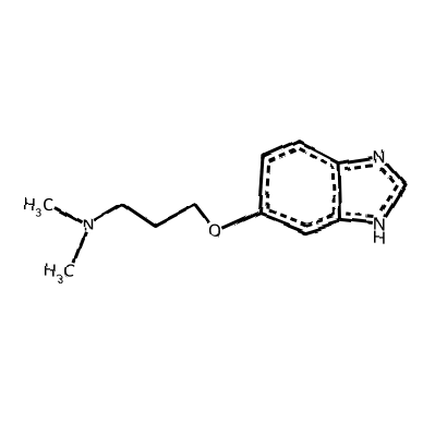 CN(C)CCCOc1ccc2nc[nH]c2c1